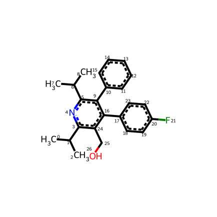 CC(C)c1nc(C(C)C)c(-c2ccccc2)c(-c2ccc(F)cc2)c1CO